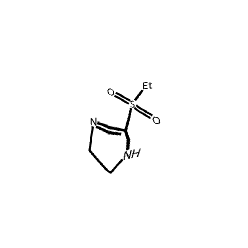 CCS(=O)(=O)C1=NCCN1